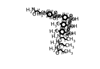 CCCC(N)=O.CCCC(N)=O.CCCC(N)=O.CCCC(N)=O.Cc1ccc(S(=O)(=O)O)cc1.Cc1ccc(S(=O)(=O)O)cc1.Cc1ccc(S(=O)(=O)O)cc1.Cc1ccc(S(=O)(=O)O)cc1